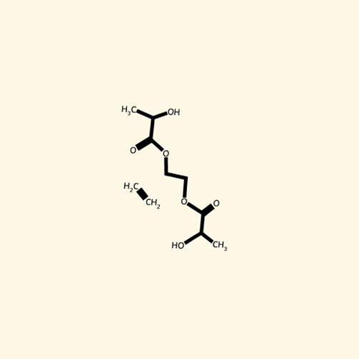 C=C.CC(O)C(=O)OCCOC(=O)C(C)O